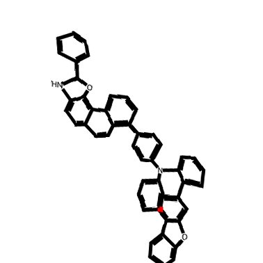 c1ccc(C2Nc3ccc4ccc5c(-c6ccc(N(c7ccccc7)c7ccccc7-c7ccc8c(c7)oc7ccccc78)cc6)cccc5c4c3O2)cc1